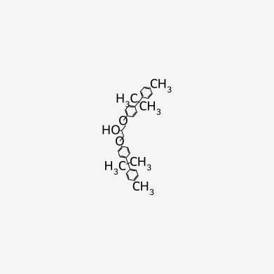 Cc1ccc(C(C)(C)c2ccc(OCC(O)COc3ccc(C(C)(C)c4ccc(C)cc4)cc3)cc2)cc1